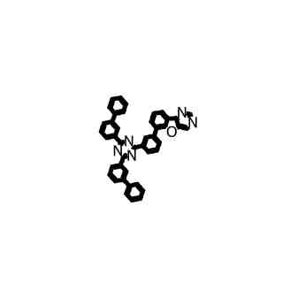 c1ccc(-c2cccc(-c3nc(-c4cccc(-c5ccccc5)c4)nc(-c4cccc(-c5cccc6c5oc5cncnc56)c4)n3)c2)cc1